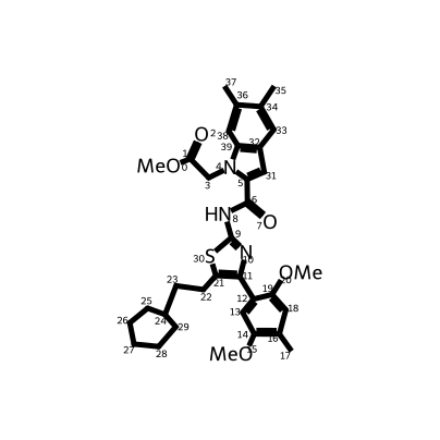 COC(=O)Cn1c(C(=O)Nc2nc(-c3cc(OC)c(C)cc3OC)c(CCC3CCCCC3)s2)cc2cc(C)c(C)cc21